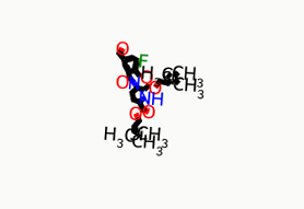 C[Si](C)(C)CCOC(=O)C1CCC(N2Cc3c(F)cc(C=O)cc3C2=O)C(C(=O)OCC[Si](C)(C)C)N1